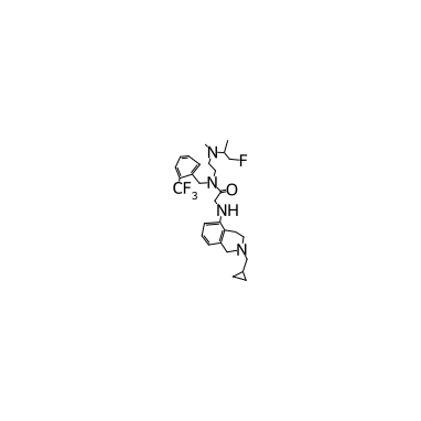 CC(CF)N(C)CCN(Cc1ccccc1C(F)(F)F)C(=O)CNc1cccc2c1CCN(CC1CC1)C2